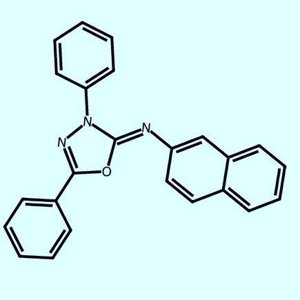 c1ccc(-c2nn(-c3ccccc3)/c(=N/c3ccc4ccccc4c3)o2)cc1